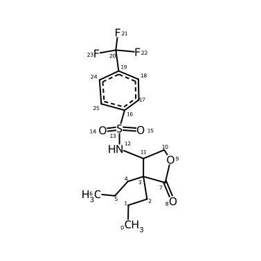 CCCC1(CCC)C(=O)OCC1NS(=O)(=O)c1ccc(C(F)(F)F)cc1